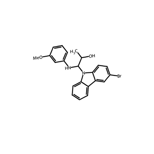 COc1cccc(NC(C(C)O)n2c3ccccc3c3cc(Br)ccc32)c1